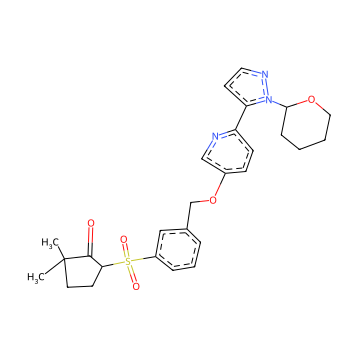 CC1(C)CCC(S(=O)(=O)c2cccc(COc3ccc(-c4ccnn4C4CCCCO4)nc3)c2)C1=O